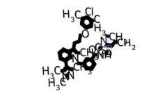 C=C/C=C(\N=C/C)S(=O)(=O)NC(=O)c1cccc(Cn2c(C)c(CCCOc3cc(C)c(Cl)c(C)c3)c3cccc(-c4c(C)nn(C)c4C)c32)c1